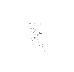 C=C(CC[C@@H](C(=O)O)[C@H]1CC[C@@]2(C)C3=CCC4C(C)(C)[C@@H](O)CC[C@]4(C)C3=CC[C@]12C)C(C)C